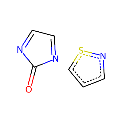 O=C1N=CC=N1.c1cnsc1